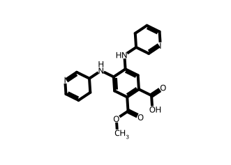 COC(=O)c1cc(NC2C=IC=CC2)c(NC2C=IC=CC2)cc1C(=O)O